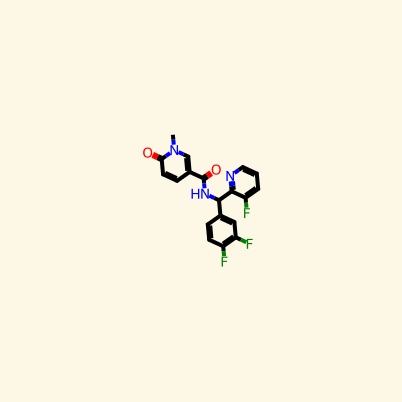 Cn1cc(C(=O)NC(c2ccc(F)c(F)c2)c2ncccc2F)ccc1=O